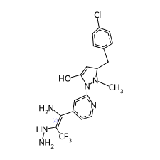 CN1C(Cc2ccc(Cl)cc2)C=C(O)N1c1cc(/C(N)=C(/NN)C(F)(F)F)ccn1